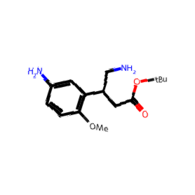 COc1ccc(N)cc1C(CN)CC(=O)OC(C)(C)C